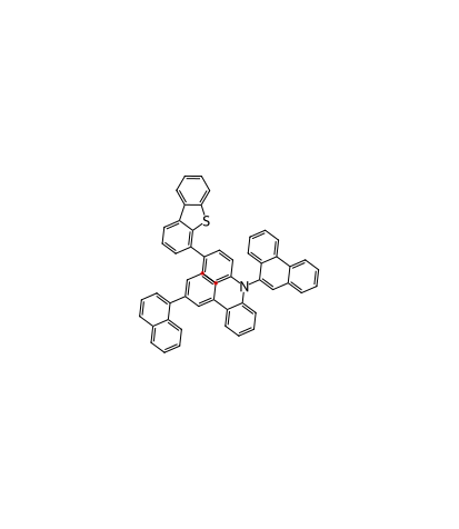 c1cc(-c2ccccc2N(c2ccc(-c3cccc4c3sc3ccccc34)cc2)c2cc3ccccc3c3ccccc23)cc(-c2cccc3ccccc23)c1